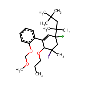 CCCOC1C(c2ccccc2OCOC)=CC(F)(C(C)(C)CC(C)(C)C)CC1(C)I